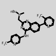 CCCCN(C)Cc1nc(Nc2ccc(C(F)(F)F)nc2)c2ccc(-c3ncccc3C(F)(F)F)cc2n1